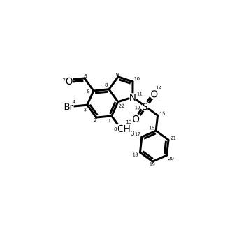 Cc1cc(Br)c(C=O)c2ccn(S(=O)(=O)Cc3ccccc3)c12